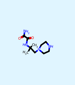 CC(C)(CN1CCNCC1)NC(=O)C(N)=O